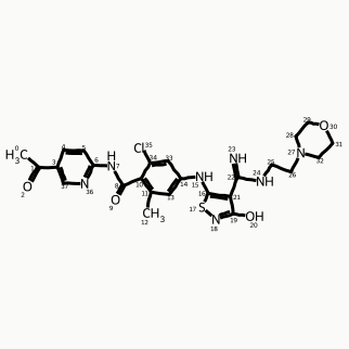 CC(=O)c1ccc(NC(=O)c2c(C)cc(Nc3snc(O)c3C(=N)NCCN3CCOCC3)cc2Cl)nc1